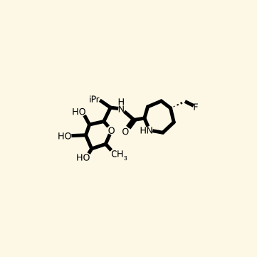 CC(C)C(NC(=O)C1CC[C@H](CF)CCN1)C1OC(C)C(O)C(O)C1O